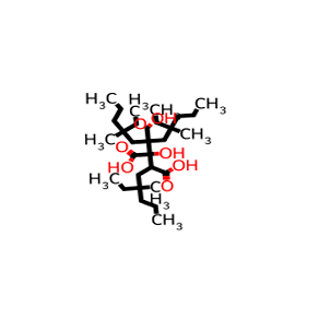 CCCC(C)(CC)CC(C(=O)O)C(O)(C(=O)O)C(CC(C)(CC)CCC)(CC(C)(CC)CCC)C(=O)O